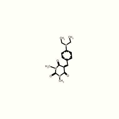 CCN(CC)c1ccc(C=C2C(=O)N(C)C(=O)N(C)C2=O)cc1